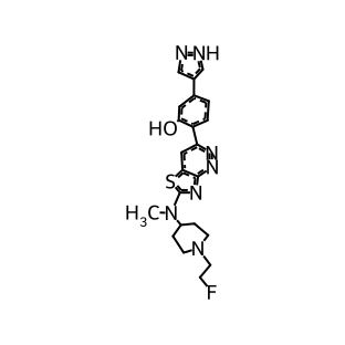 CN(c1nc2nnc(-c3ccc(-c4cn[nH]c4)cc3O)cc2s1)C1CCN(CCF)CC1